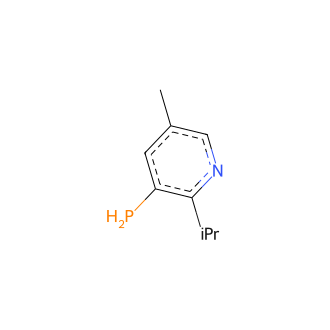 Cc1cnc(C(C)C)c(P)c1